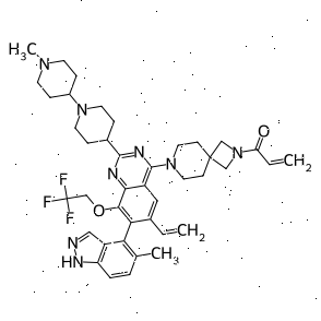 C=CC(=O)N1CC2(CCN(c3nc(C4CCN(C5CCN(C)CC5)CC4)nc4c(OCC(F)(F)F)c(-c5c(C)ccc6[nH]ncc56)c(C=C)cc34)CC2)C1